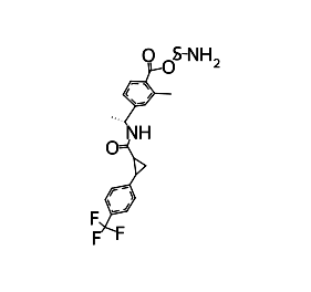 Cc1cc([C@@H](C)NC(=O)C2CC2c2ccc(C(F)(F)F)cc2)ccc1C(=O)OSN